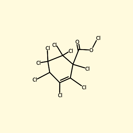 O=C(OCl)C1(Cl)C(Cl)=C(Cl)C(Cl)C(Cl)(Cl)C1(Cl)Cl